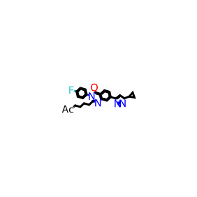 CC(=O)CCCCc1nc2cc(C3=CC(C4CC4)N=N3)ccc2c(=O)n1-c1ccc(F)cc1